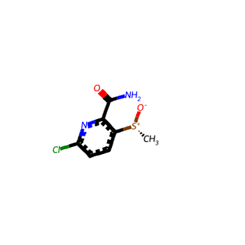 C[S@@+]([O-])c1ccc(Cl)nc1C(N)=O